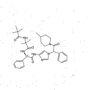 CC1CCN(C(=O)C(c2ccccc2)n2cnc(NC(=O)[C@H](NC(=O)C(C)(C)NC(=O)C(C)(C)C)c3ccccc3)c2)CC1